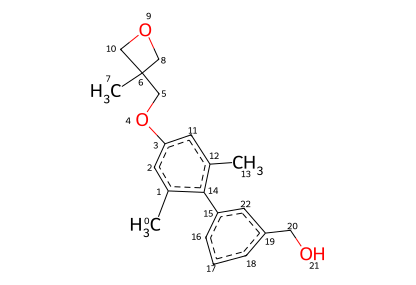 Cc1cc(OCC2(C)COC2)cc(C)c1-c1cccc(CO)c1